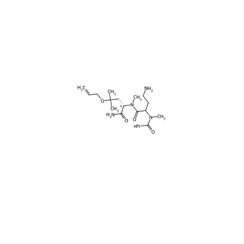 C=CCOC(C)(C)C[C@@H](C(N)=O)N(C)C(=O)C(CCN)N(C)C(=O)CCC